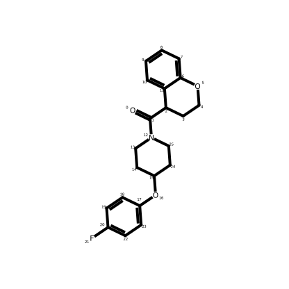 O=C(C1CCOc2ccccc21)N1CCC(Oc2ccc(F)cc2)CC1